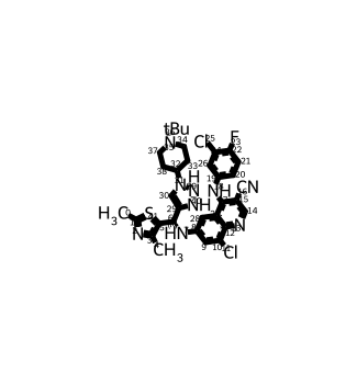 Cc1nc(C)c([C@H](Nc2cc(Cl)c3ncc(C#N)c(Nc4ccc(F)c(Cl)c4)c3c2)C2=CN(C3CCN(C(C)(C)C)CC3)NN2)s1